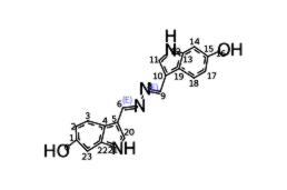 Oc1ccc2c(/C=N/N=C/c3c[nH]c4cc(O)ccc34)c[nH]c2c1